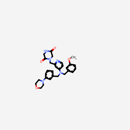 COc1cccc(CN(Cc2cccc(N3CCOCC3)c2)c2ccnc(CN3CC(=O)NCC3=O)c2)c1